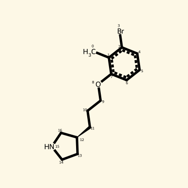 Cc1c(Br)cccc1OCCC[C@H]1CCNC1